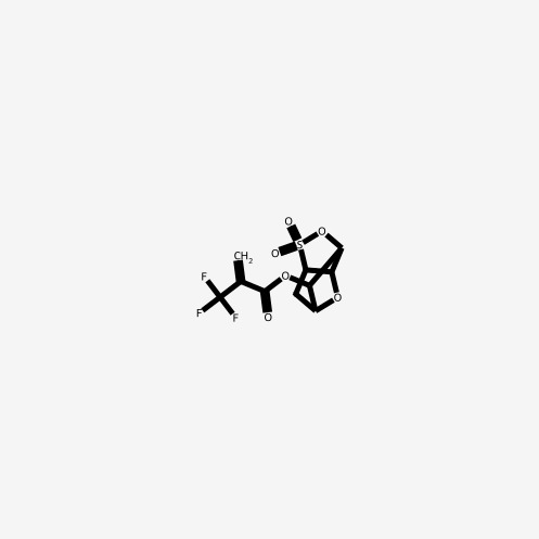 C=C(C(=O)OC1C2CC3C(O2)C1OS3(=O)=O)C(F)(F)F